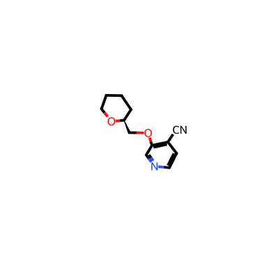 N#Cc1ccncc1OC[C@@H]1CCCCO1